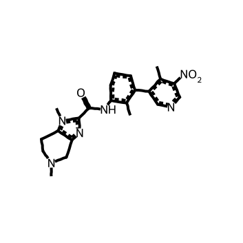 Cc1c(NC(=O)c2nc3c(n2C)CCN(C)C3)cccc1-c1cncc([N+](=O)[O-])c1C